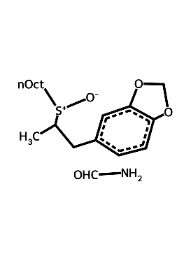 CCCCCCCC[S+]([O-])C(C)Cc1ccc2c(c1)OCO2.NC=O